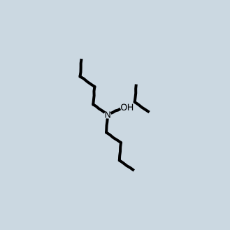 CCC.CCCCN(O)CCCC